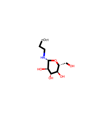 CCCCCCCCCCN[C@@H]1O[C@H](CO)[C@@H](O)[C@H](O)[C@H]1O